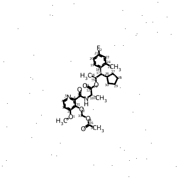 COc1ccnc(C(=O)N[C@@H](C)C(=O)O[C@@H](C)[C@@H](c2ccc(F)cc2C)C2CCCC2)c1OCOC(C)=O